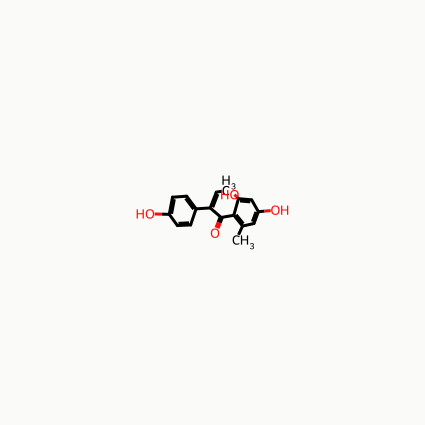 C/C=C(\C(=O)c1c(C)cc(O)cc1O)c1ccc(O)cc1